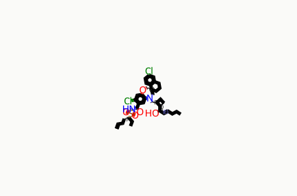 C=CCC[C@@H](CC)S(=O)(=O)NC(=O)c1cc2c(cc1Cl)OC[C@]1(CCCc3cc(Cl)ccc31)CN2C[C@@H]1CC[C@H]1[C@@H](O)/C=C/CCC